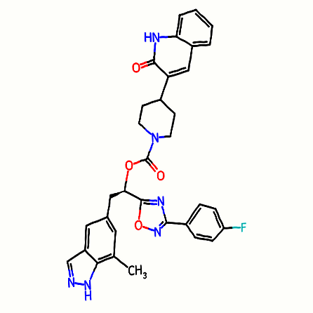 Cc1cc(C[C@@H](OC(=O)N2CCC(c3cc4ccccc4[nH]c3=O)CC2)c2nc(-c3ccc(F)cc3)no2)cc2cn[nH]c12